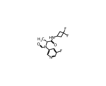 C[C@@H](C(=O)NC1CC(F)(F)C1)N(C=O)c1cncc(F)c1